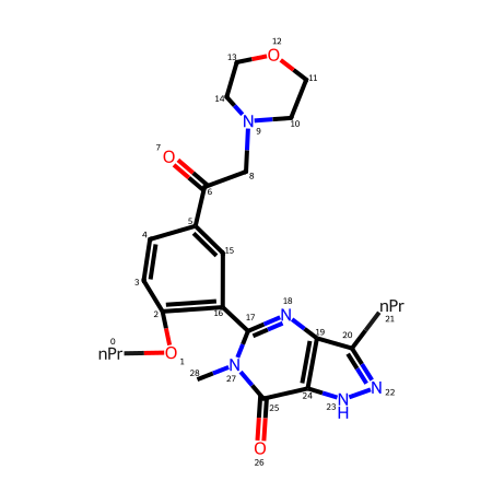 CCCOc1ccc(C(=O)CN2CCOCC2)cc1-c1nc2c(CCC)n[nH]c2c(=O)n1C